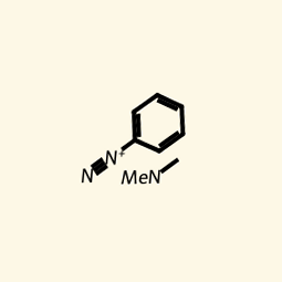 CNC.N#[N+]c1ccccc1